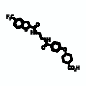 O=C(NCCNC(=O)C1Cc2cc(C(F)(F)F)ccc2S1)c1ccc(O[C@H]2CC[C@@H](C(=O)O)CC2)cc1